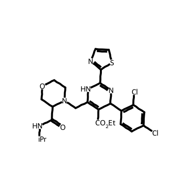 CCOC(=O)C1=C(CN2CCOCC2C(=O)NC(C)C)NC(c2nccs2)=NC1c1ccc(Cl)cc1Cl